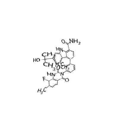 Cc1ccc2c(=O)n(-c3cccc(-c4ccc(C(N)=O)c5[nH]c6cc(C(C)(C)O)cc(C)c6c45)c3C)c(=O)[nH]c2c1F